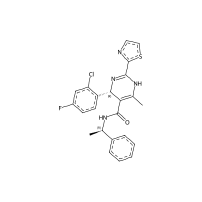 CC1=C(C(=O)N[C@H](C)c2ccccc2)[C@H](c2ccc(F)cc2Cl)N=C(c2nccs2)N1